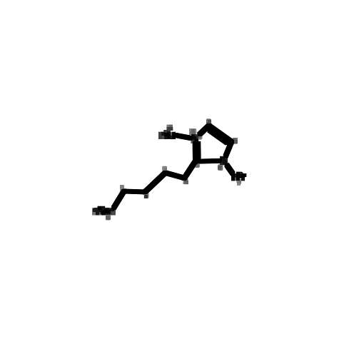 CCCCCCCCCCCCCc1n(CCC)cc[n+]1CCCC